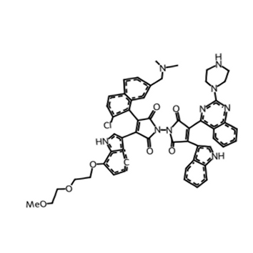 COCCOCCOc1cccc2c(C3=C(c4c(Cl)ccc5ccc(CN(C)C)cc45)C(=O)N(N4C(=O)C(c5nc(N6CCNCC6)nc6ccccc56)=C(c5c[nH]c6ccccc56)C4=O)C3=O)c[nH]c12